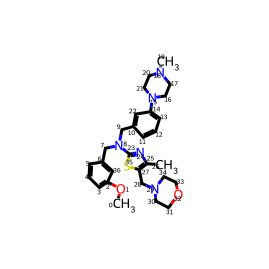 COc1cccc(CN(Cc2cccc(N3CCN(C)CC3)c2)c2nc(C)c(CN3CCOCC3)s2)c1